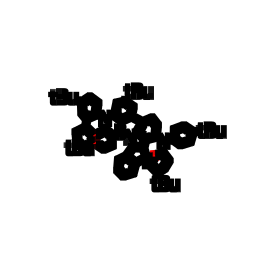 CC(C)(C)c1ccc(N(c2ccc(C(C)(C)C)cc2)c2ccc3c4c2c2c(n4B4c5ccc(C(C)(C)C)cc5N(c5ccc(C(C)(C)C)cc5-c5ccccc5)c5cc(C(C)(C)C)cc-3c54)-c3ccccc3C2(C)C)cc1